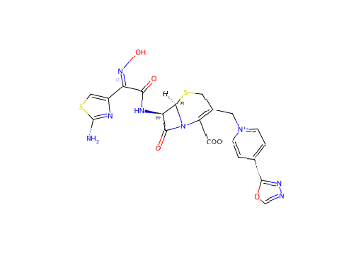 Nc1nc(/C(=N/O)C(=O)N[C@@H]2C(=O)N3C(C(=O)[O-])=C(C[n+]4ccc(-c5nnco5)cc4)CS[C@H]23)cs1